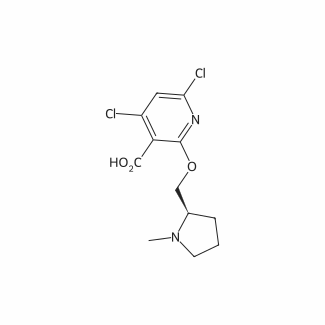 CN1CCC[C@@H]1COc1nc(Cl)cc(Cl)c1C(=O)O